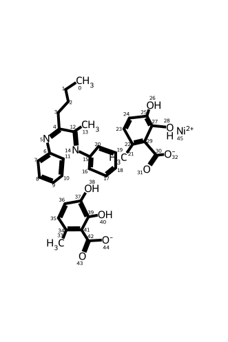 CCCCC(=Nc1ccccc1)C(C)=Nc1ccccc1.Cc1ccc(O)c(O)c1C(=O)[O-].Cc1ccc(O)c(O)c1C(=O)[O-].[Ni+2]